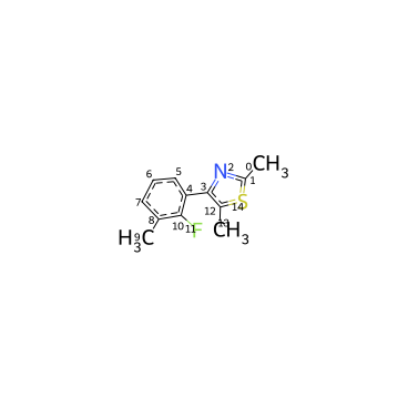 Cc1nc(-c2cccc(C)c2F)c(C)s1